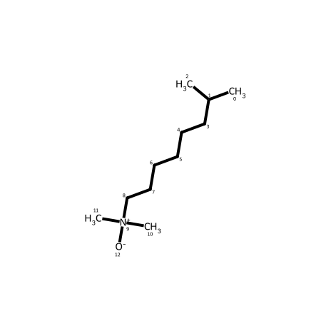 CC(C)CCCCCC[N+](C)(C)[O-]